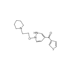 O=C(C1=CNN(OCCN2CCCCC2)C=C1)c1ccsc1